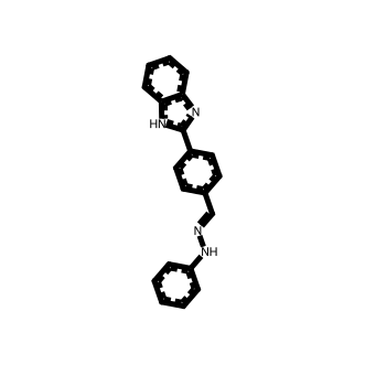 C(=NNc1ccccc1)c1ccc(-c2nc3ccccc3[nH]2)cc1